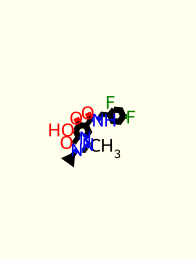 CN1CN(C2CC2)C(=O)c2c(O)c(=O)c(C(=O)NCc3ccc(F)cc3F)cn21